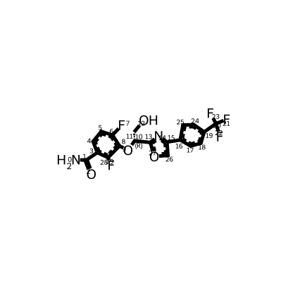 NC(=O)c1ccc(F)c(O[C@H](CO)c2nc(-c3ccc(C(F)(F)F)cc3)co2)c1F